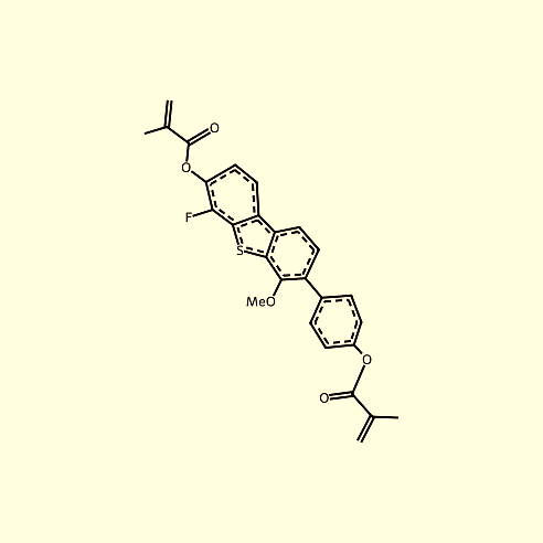 C=C(C)C(=O)Oc1ccc(-c2ccc3c(sc4c(F)c(OC(=O)C(=C)C)ccc43)c2OC)cc1